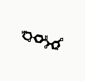 O=C(Nc1ccc([C@H]2CNCCO2)cc1)c1cncc(Cl)c1